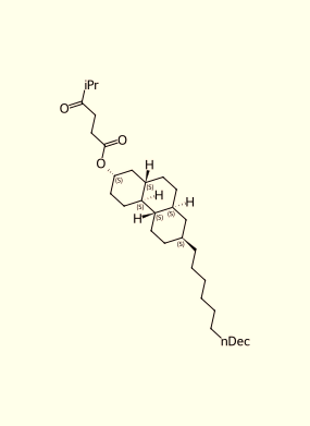 CCCCCCCCCCCCCCCC[C@H]1CC[C@H]2[C@@H](CC[C@H]3C[C@@H](OC(=O)CCC(=O)C(C)C)CC[C@@H]32)C1